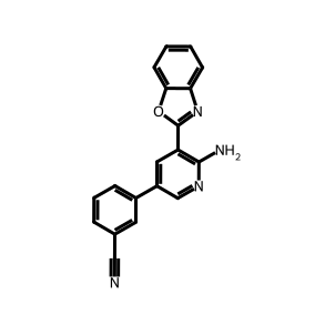 N#Cc1cccc(-c2cnc(N)c(-c3nc4ccccc4o3)c2)c1